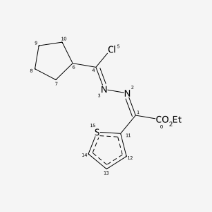 CCOC(=O)C(=NN=C(Cl)C1CCCC1)c1cccs1